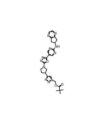 CC(C)(C)C(=O)OCn1cc(C2CCN(c3nnc(-c4cnc(NC5Cc6nccnc6C5)nc4)o3)C2)nn1